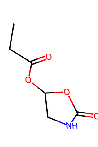 CCC(=O)OC1CNC(=O)O1